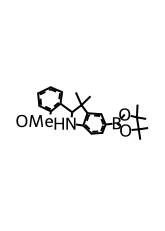 COc1ccccc1C1Nc2ccc(B3OC(C)(C)C(C)(C)O3)cc2C1(C)C